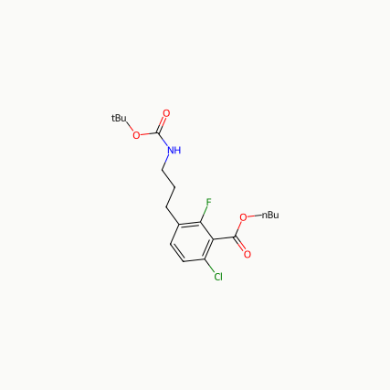 CCCCOC(=O)c1c(Cl)ccc(CCCNC(=O)OC(C)(C)C)c1F